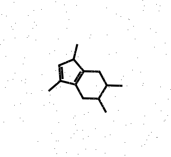 CC1=CC(C)C2=C1CC(C)C(C)C2